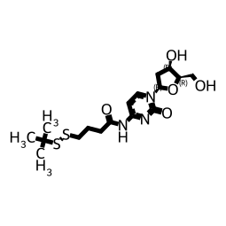 CC(C)(C)SSCCCC(=O)Nc1ccn([C@H]2C[C@@H](O)[C@@H](CO)O2)c(=O)n1